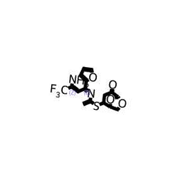 C=C(/N=C(\C=C(/N)C(F)(F)F)c1ccco1)SC1CC(=O)C2OCC1O2